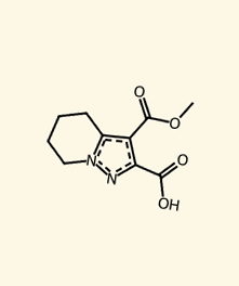 COC(=O)c1c(C(=O)O)nn2c1CCCC2